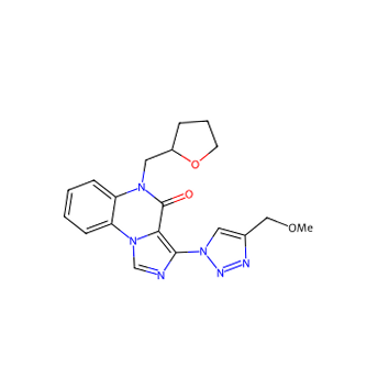 COCc1cn(-c2ncn3c2c(=O)n(CC2CCCO2)c2ccccc23)nn1